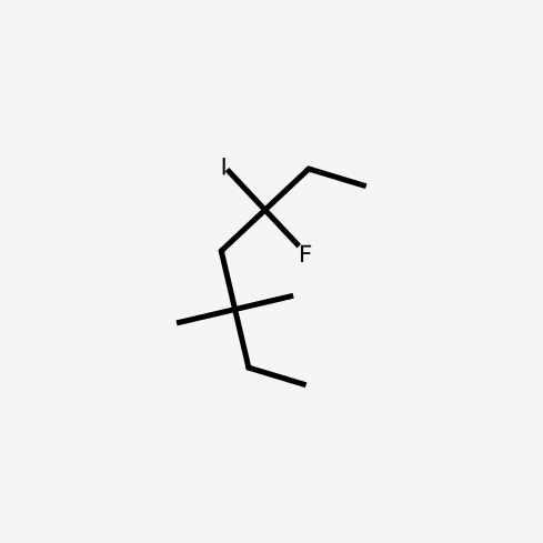 CCC(C)(C)CC(F)(I)CC